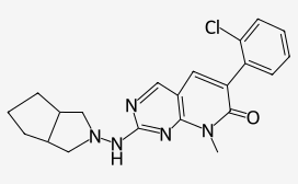 Cn1c(=O)c(-c2ccccc2Cl)cc2cnc(NN3CC4CCCC4C3)nc21